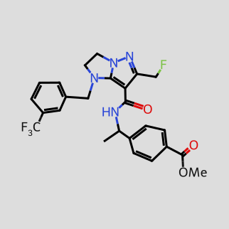 COC(=O)c1ccc(C(C)NC(=O)c2c(CF)nn3c2N(Cc2cccc(C(F)(F)F)c2)CC3)cc1